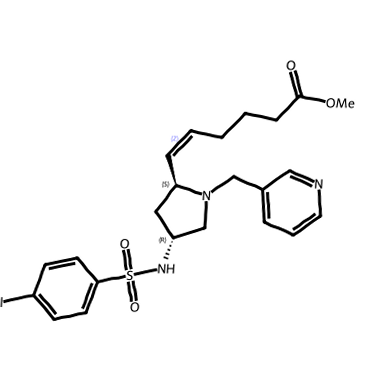 COC(=O)CCC/C=C\[C@@H]1C[C@@H](NS(=O)(=O)c2ccc(Cl)cc2)CN1Cc1cccnc1